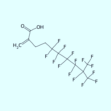 C=C(CCC(F)(F)C(F)(F)C(F)(F)C(F)(F)C(F)(C(F)(F)F)C(F)(F)F)C(=O)O